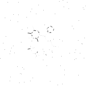 Cc1cn(C(OCCO)c2ccco2)c(=O)[nH]c1=O.O=P(O)(O)OP(=O)(O)OP(=O)(O)O